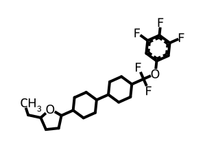 CCC1CCC(C2CCC(C3CCC(C(F)(F)Oc4cc(F)c(F)c(F)c4)CC3)CC2)O1